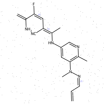 C=C/C=N\N(C)c1cc(N/C(C)=C(C#N)/C=C(/F)C(=C)N)cnc1C